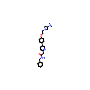 CN(C)C1CN(CCOc2ccc(-c3ccc(CC(=O)NCc4ccccc4)nc3)cc2)C1